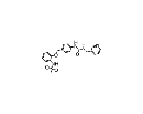 CS(=O)(=O)Nc1ccccc1OCc1ccc(NC(=O)NCc2cccnc2)cc1